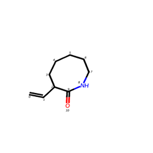 C=CC1CCCCCNC1=O